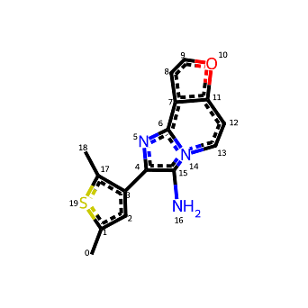 Cc1cc(-c2nc3c4ccoc4ccn3c2N)c(C)s1